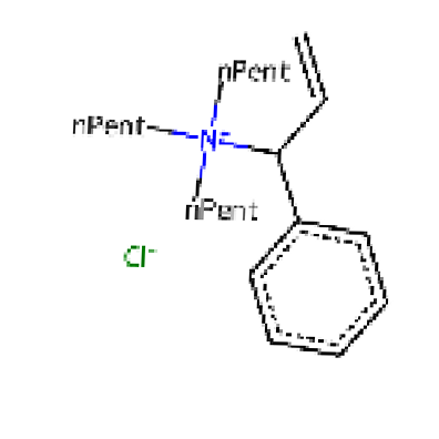 C=CC(c1ccccc1)[N+](CCCCC)(CCCCC)CCCCC.[Cl-]